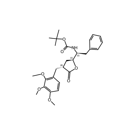 COc1ccc(C[C@@H]2C[C@@H]([C@H](Cc3ccccc3)NC(=O)OC(C)(C)C)OC2=O)c(OC)c1OC